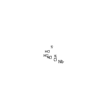 Cl.Cl.Cl.Cl.[Nb].[Ti]